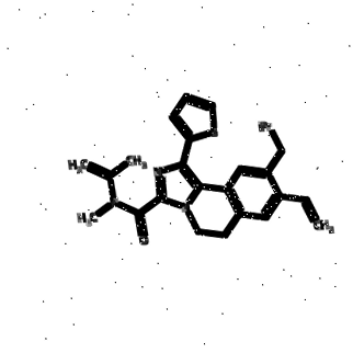 C=Cc1cc2c(cc1CC(C)C)-c1c(-c3cccs3)nc(C(=O)N(C)C(=C)C)n1CC2